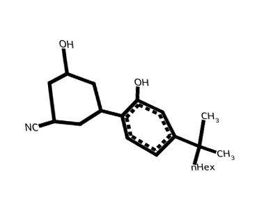 CCCCCCC(C)(C)c1ccc(C2CC(O)CC(C#N)C2)c(O)c1